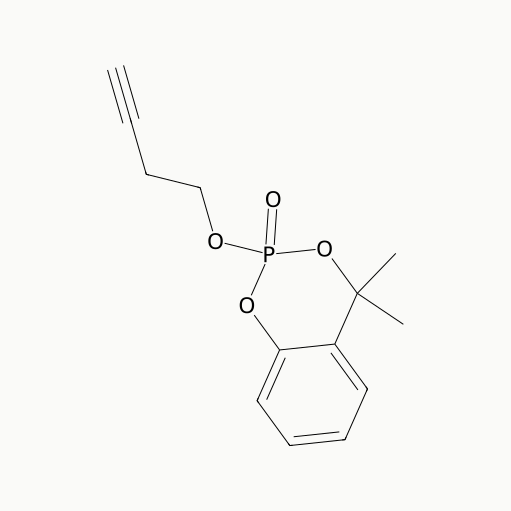 C#CCCOP1(=O)Oc2ccccc2C(C)(C)O1